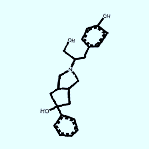 OCC(Cc1ccc(O)cc1)N1CC2CC(O)(c3ccccc3)CC2C1